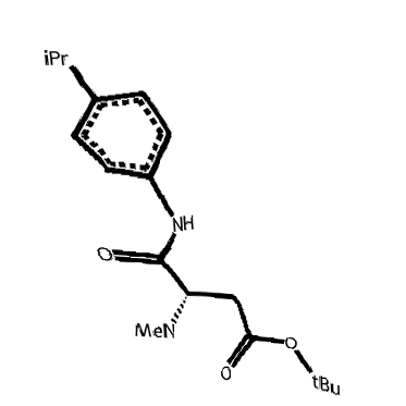 CN[C@@H](CC(=O)OC(C)(C)C)C(=O)Nc1ccc(C(C)C)cc1